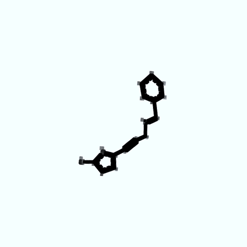 Clc1ccc(C#CCN=Cc2ccccc2)o1